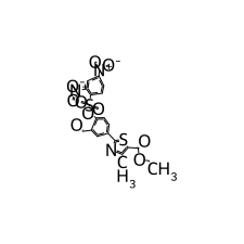 CCOC(=O)c1sc(-c2ccc(OS(=O)(=O)c3ccc([N+](=O)[O-])cc3[N+](=O)[O-])c(C=O)c2)nc1C